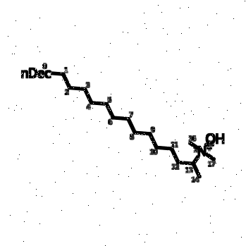 CCCCCCCCCCCCCCCCCCCCCCC(C)[N+](C)(C)O